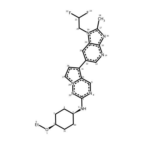 CCO[C@H]1CC[C@@H](Nc2ncc3c(-c4cnc5nc(C)n(CC(F)F)c5c4)ccn3n2)CC1